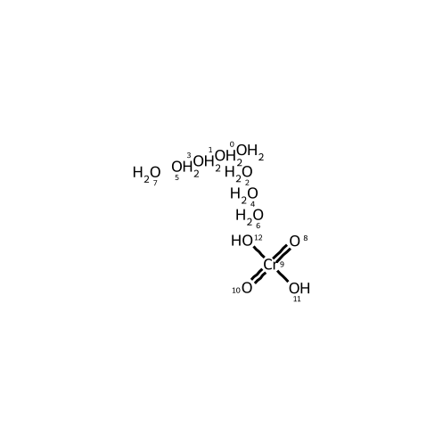 O.O.O.O.O.O.O.O.[O]=[Cr](=[O])([OH])[OH]